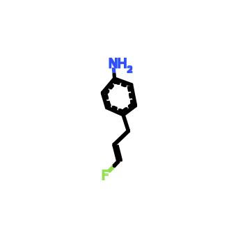 Nc1ccc(CC=CF)cc1